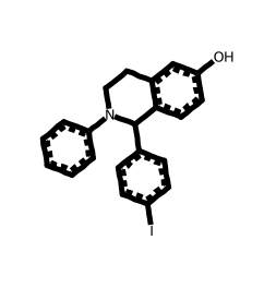 Oc1ccc2c(c1)CCN(c1ccccc1)C2c1ccc(I)cc1